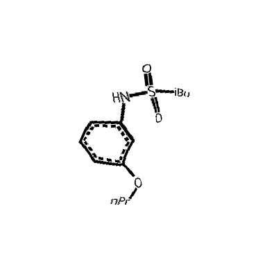 CCCOc1cccc(NS(=O)(=O)C(C)CC)c1